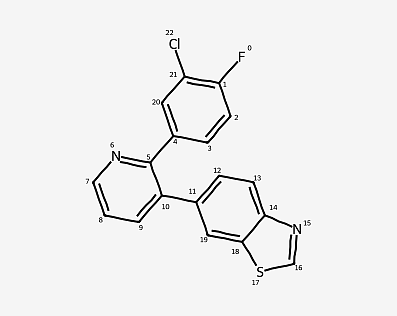 Fc1ccc(-c2ncccc2-c2ccc3ncsc3c2)cc1Cl